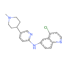 CN1CCC(c2ccc(Nc3ccc4nccc(Cl)c4c3)nc2)CC1